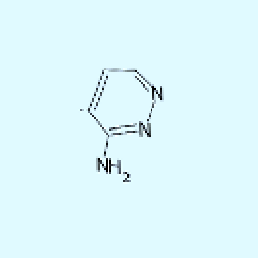 Nc1[c]ccnn1